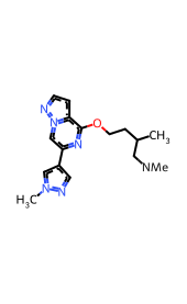 CNCC(C)CCOc1nc(-c2cnn(C)c2)cn2nccc12